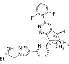 CC[C@H](O)Cn1cc(-c2cccc([C@@]34CC[C@@H](c5cc(-c6c(F)cccc6F)nnc53)C4(C)C)n2)cn1